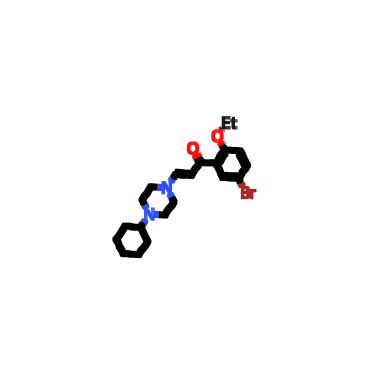 CCOc1ccc(Br)cc1C(=O)C=CN1CCN(C2CCCCC2)CC1